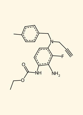 C#CCN(Cc1ccc(C)cc1)c1ccc(NC(=O)OCC)c(N)c1F